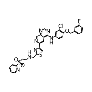 O=S(=O)(CCNCc1nc(-c2cc3c(Nc4ccc(OCc5cccc(F)c5)c(Cl)c4)ncnc3cn2)cs1)c1ccccn1